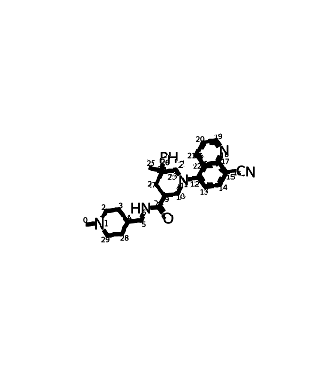 CN1CCC(CNC(=O)C2CN(c3ccc(C#N)c4ncccc34)CC(C)(P)C2)CC1